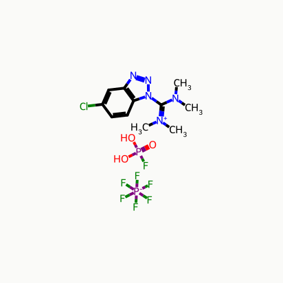 CN(C)C(n1nnc2cc(Cl)ccc21)=[N+](C)C.F[P-](F)(F)(F)(F)F.O=P(O)(O)F